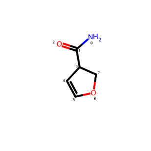 NC(=O)C1C=COC1